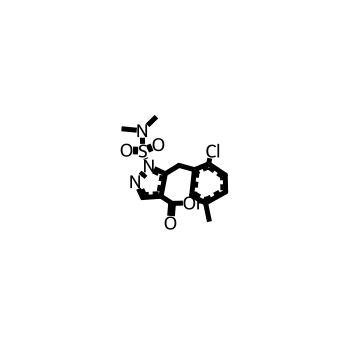 Cc1ccc(Cl)c(Cc2c(C(=O)O)cnn2S(=O)(=O)N(C)C)c1